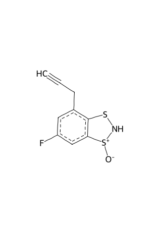 C#CCc1cc(F)cc2c1SN[S+]2[O-]